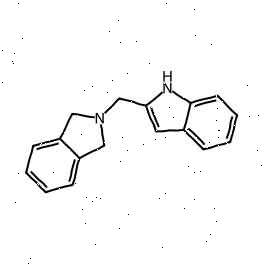 c1ccc2c(c1)CN(Cc1cc3ccccc3[nH]1)C2